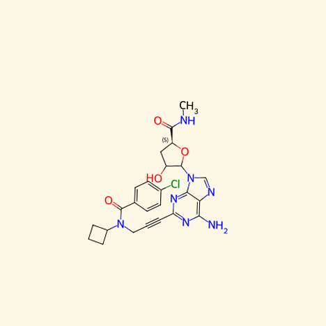 CNC(=O)[C@@H]1CC(O)C(n2cnc3c(N)nc(C#CCN(C(=O)c4ccc(Cl)cc4)C4CCC4)nc32)O1